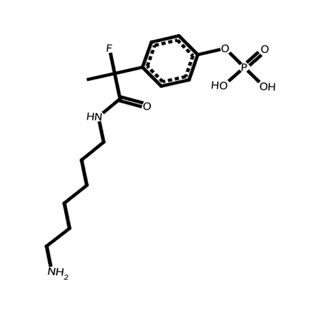 CC(F)(C(=O)NCCCCCCN)c1ccc(OP(=O)(O)O)cc1